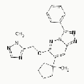 Cn1ncnc1COc1nn2c(-c3ccccc3)nnc2cc1C1(C)CCCC1